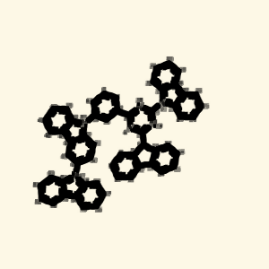 c1cc(-c2nc(C3c4ccccc4-c4ccccc43)nc(-n3c4ccccc4c4ccccc43)n2)cc(-n2c3ccccc3c3cc(-n4c5ccccc5c5ccccc54)ccc32)c1